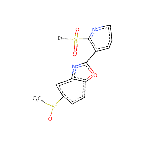 CCS(=O)(=O)c1ncccc1-c1nc2cc([S+]([O-])C(F)(F)F)ccc2o1